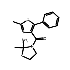 Cc1nc(C(=O)N2CCSC2(C)N)c(-c2ccccc2)o1